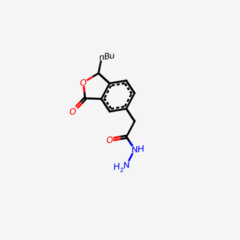 CCCCC1OC(=O)c2cc(CC(=O)NN)ccc21